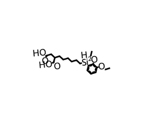 CCOc1cccc([SiH2]CCCCCCC(CC(=O)O)C(=O)O)c1OCC